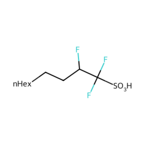 CCCCCCCCC(F)C(F)(F)S(=O)(=O)O